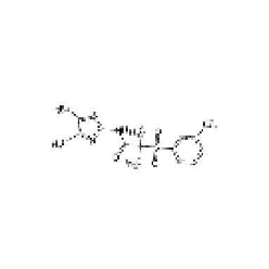 Cc1nc(NC(=O)C(C)(C)S(=O)(=O)c2cccc(C(F)(F)F)c2)sc1C(C)(C)C